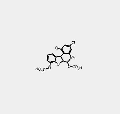 O=C(O)Oc1cccc2c1OC1C(OC(=O)O)Nc3cc(Cl)cc(Cl)c3C21